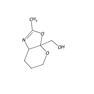 CC1=NC2CCCOC2(CO)O1